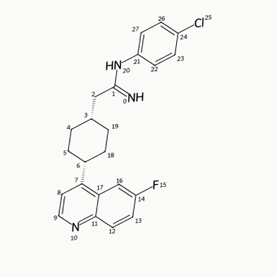 N=C(C[C@H]1CC[C@@H](c2ccnc3ccc(F)cc32)CC1)Nc1ccc(Cl)cc1